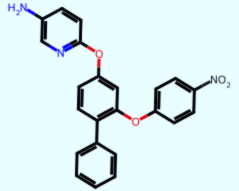 Nc1ccc(Oc2ccc(-c3ccccc3)c(Oc3ccc([N+](=O)[O-])cc3)c2)nc1